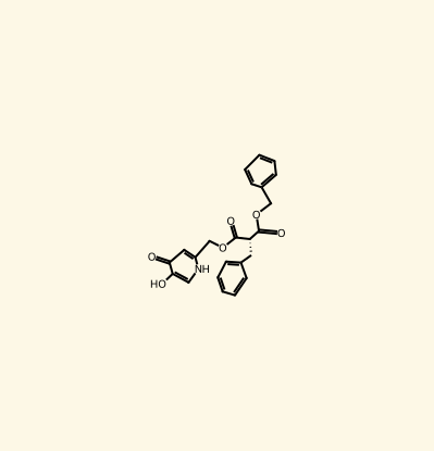 O=C(OCc1ccccc1)[C@H](Cc1ccccc1)C(=O)OCc1cc(=O)c(O)c[nH]1